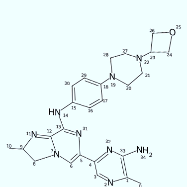 Cc1ncc(C2=CN3CC(C)N=C3C(Nc3ccc(N4CCN(C5COC5)CC4)cc3)=N2)nc1N